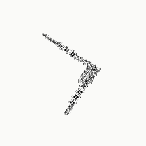 O=S(=O)(O)O.O=S(=O)(O)O.O=S(=O)(O)O.O=S(=O)(O)O.O=S(=O)(O)O.O=S(=O)(O)O.O=S(=O)(O)O.O=S(=O)(O)O.O=S(=O)(O)O.O=S(=O)(O)O.O=S(=O)(O)O.O=S(=O)(O)O.O=S(=O)(O)O.O=S(=O)(O)O.O=S(=O)([O-])O.O=S(=O)([O-])[O-].O=S(=O)([O-])[O-].O=S(=O)([O-])[O-].O=S(=O)([O-])[O-].O=S(=O)([O-])[O-].O=S(=O)([O-])[O-].O=S(=O)([O-])[O-].[Na+].[Na+].[Na+].[Na+].[Na+].[Na+].[Na+].[Na+].[Na+].[Na+].[Na+].[Na+].[Na+].[Na+].[Na+]